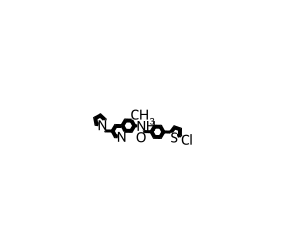 Cc1cc2cc(Cn3cccc3)cnc2cc1NC(=O)c1ccc(-c2ccc(Cl)s2)cc1